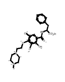 CCOC(=O)C(Cc1ccccc1)NC(=O)c1cc(Cl)c(OCCN2CCN(C)CC2)c(Cl)c1O